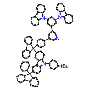 CC(C)(C)c1ccc(-n2c3ccc(C4(c5ccccc5)c5ccccc5-c5ccccc54)cc3c3cc(C4(c5ccc(-c6cncc(-c7cc(-n8c9ccccc9c9ccccc98)cc(-n8c9ccccc9c9ccccc98)c7)c6)cc5)c5ccccc5-c5ccccc54)ccc32)cc1